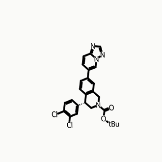 CC(C)(C)OC(=O)N1Cc2cc(-c3ccc4ncnn4c3)ccc2[C@@H](c2ccc(Cl)c(Cl)c2)C1